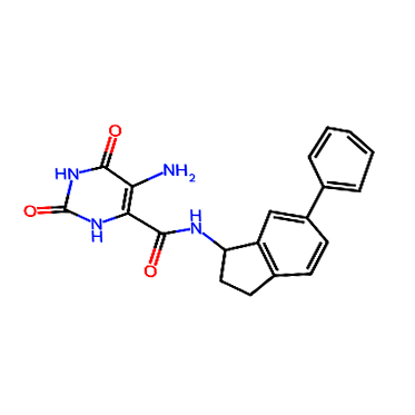 Nc1c(C(=O)NC2CCc3ccc(-c4ccccc4)cc32)[nH]c(=O)[nH]c1=O